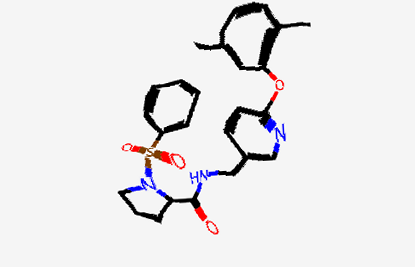 Cc1ccc(C)c(Oc2ccc(CNC(=O)C3CCCN3S(=O)(=O)c3ccccc3)cn2)c1